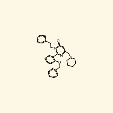 O=c1cc(CN2CCCCC2)nc(-c2ccccc2OCc2ccccc2)n1CCc1ccccc1